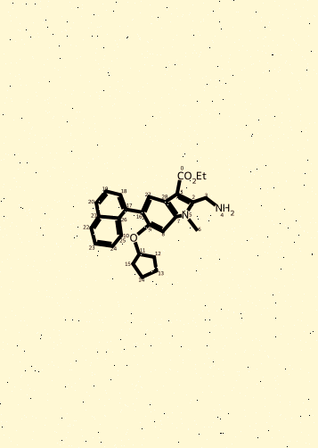 CCOC(=O)c1c(CN)n(C)c2cc(OC3CCCC3)c(-c3cccc4ccccc34)cc12